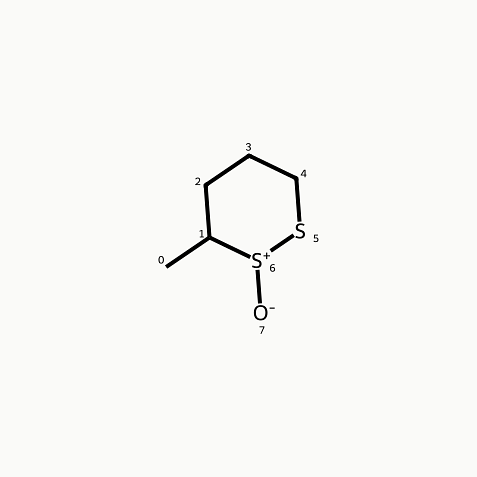 CC1CCCS[S+]1[O-]